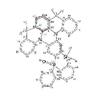 CC1(C)c2ccccc2N(c2cc3c(cc2N2c4ccccc4C(C)(C)c4ccccc42)P(=O)(c2ccccc2)c2ccccc2[Si]3(C)C)c2ccccc21